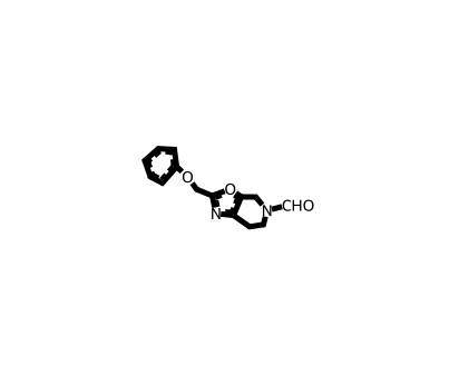 O=CN1CCc2nc(COc3ccccc3)oc2C1